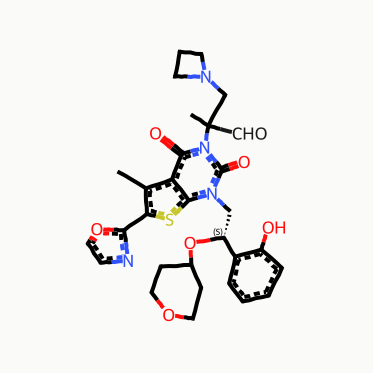 Cc1c(-c2ncco2)sc2c1c(=O)n(C(C)(C=O)CN1CCC1)c(=O)n2C[C@@H](OC1CCOCC1)c1ccccc1O